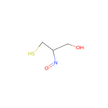 O=NC(CO)CS